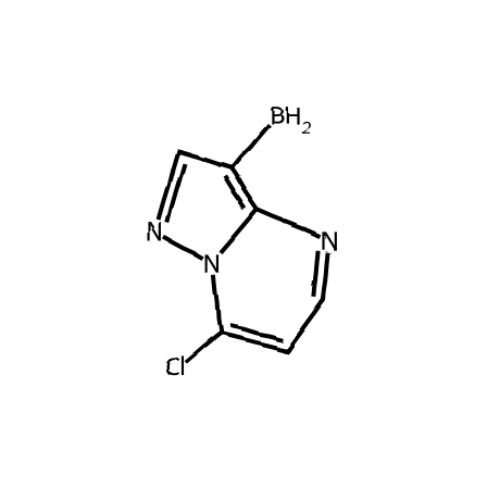 Bc1cnn2c(Cl)ccnc12